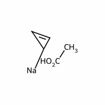 CC(=O)O.[Na][CH]1C=C1